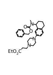 CCOC(=O)CCN1CCN(c2ccc3c(c2)C(N(C)C(=O)OCc2ccccc2)CCC3)CC1